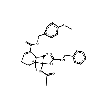 COc1ccc(COC(=O)C2=CCS[C@@H]3N2C(=O)C3(NC(C)=O)NC(=O)NCc2ccccc2)cc1